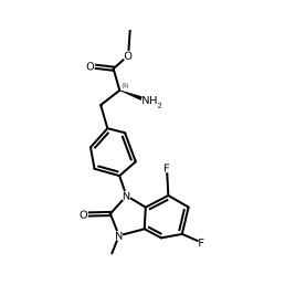 COC(=O)[C@@H](N)Cc1ccc(-n2c(=O)n(C)c3cc(F)cc(F)c32)cc1